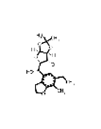 CCc1cc([C@H](O)[C@@H]2O[C@H]3OC(C)(C)O[C@H]3[C@@H]2O)c2c(c1C)OCC2